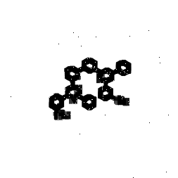 CC(C)(C)c1cccc(-c2cc(-c3ccccc3)cc(-c3cccc(-c4cccc(-c5cc(-c6cccc(C(C)(C)C)c6)nc(-c6ccccc6)n5)c4)c3)n2)c1